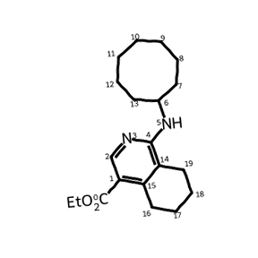 CCOC(=O)c1cnc(NC2CCCCCCC2)c2c1CCCC2